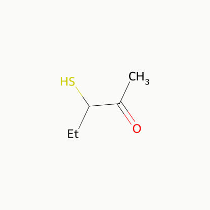 CCC(S)C(C)=O